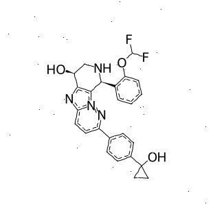 O[C@H]1CN[C@@H](c2ccccc2OC(F)F)c2c1nc1ccc(-c3ccc(C4(O)CC4)cc3)nn21